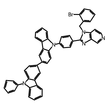 Brc1ccccc1Cn1c(-c2ccc(-n3c4ccccc4c4cc(-c5ccc6c(c5)c5ccccc5n6-c5ccccc5)ccc43)cc2)nc2cnccc21